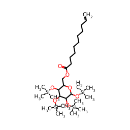 C=CCCCCCCCCC(=O)OCC1OC(O[Si](C)(C)C)C(O[Si](C)(C)C)C(O[Si](C)(C)C)C1O[Si](C)(C)C